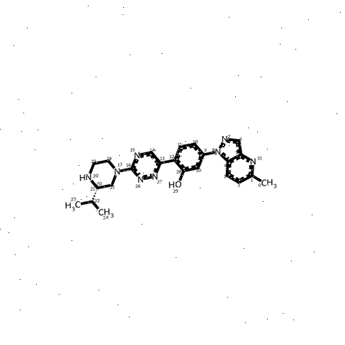 Cc1ccc2c(cnn2-c2ccc(-c3cnc(N4CCN[C@@H](C(C)C)C4)nn3)c(O)c2)n1